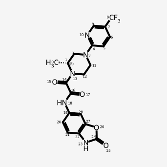 C[C@@H]1CN(c2ccc(C(F)(F)F)cn2)CCN1C(=O)C(=O)Nc1ccc2[nH]c(=O)oc2c1